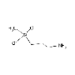 C[Si](Cl)(Cl)CCCN